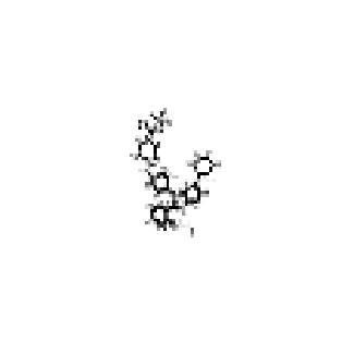 CC(C)(C)OC(=O)N1CCN(Cc2ccc(-n3c(-c4cccnc4N)nc4ccc(C5=CCCCC5)nc43)cc2)CC1